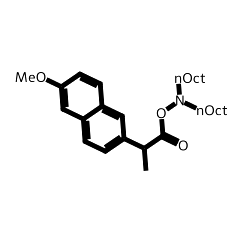 CCCCCCCCN(CCCCCCCC)OC(=O)C(C)c1ccc2cc(OC)ccc2c1